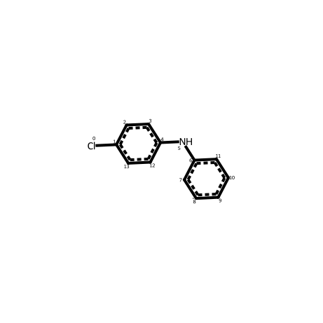 Clc1ccc(Nc2c[c]ccc2)cc1